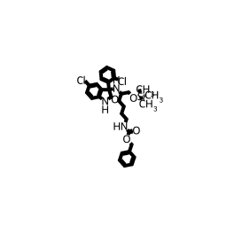 C[Si](C)(C)OCC(CCCCNC(=O)OCc1ccccc1)NC1(c2ccccc2Cl)C(=O)Nc2ccc(Cl)cc21